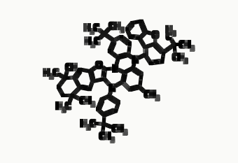 Cc1cc2c3c(c1)N(c1ccc(C(C)(C)C)c4oc5ccccc5c14)c1ccc(C(C)(C)C)cc1B3c1oc3cc4c(cc3c1N2c1ccc(C(C)(C)C)cc1)C(C)(C)CCC4(C)C